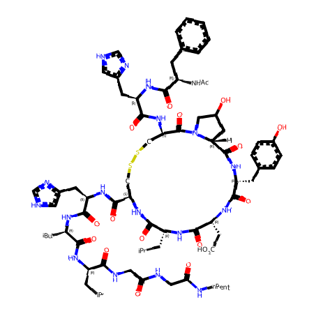 CCCCCNC(=O)CNC(=O)CNC(=O)[C@@H](CC(C)C)NC(=O)[C@H](NC(=O)[C@@H](Cc1c[nH]cn1)NC(=O)[C@H]1CSSC[C@@H](NC(=O)[C@@H](Cc2c[nH]cn2)NC(=O)[C@@H](Cc2ccccc2)NC(C)=O)C(=O)N2CC(O)C[C@@H]2C(=O)N[C@H](Cc2ccc(O)cc2)C(=O)N[C@H](CC(=O)O)C(=O)N[C@H](CC(C)C)C(=O)N1)C(C)CC